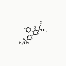 CC(=CCCl)n1ncc(-c2ccc(S(N)(=O)=O)cc2)c(-c2ccc(F)cc2)c1=O